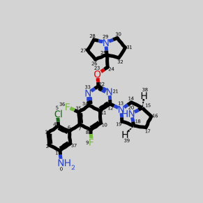 Nc1ccc(Cl)c(-c2c(F)cc3c(N4C[C@H]5CC[C@@H](C4)N5)nc(OCC45CCCN4CCC5)nc3c2F)c1